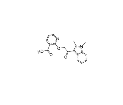 Cc1c(C(=O)COc2ncccc2C(=O)O)c2ccccc2n1C